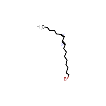 CCCCC/C=C\C=C\CCCCCCCCBr